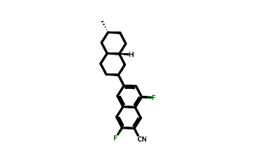 C[C@@H]1CC[C@@H]2CC(c3cc(F)c4cc(C#N)c(F)cc4c3)CCC2C1